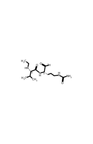 [2H]C(=O)[C@H](CCCNC(N)=O)NC(=O)[C@@H](NCC)C(C)C